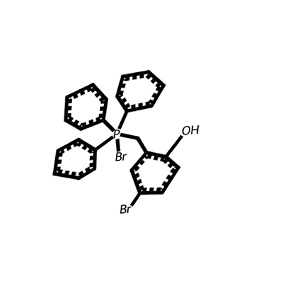 Oc1ccc(Br)cc1CP(Br)(c1ccccc1)(c1ccccc1)c1ccccc1